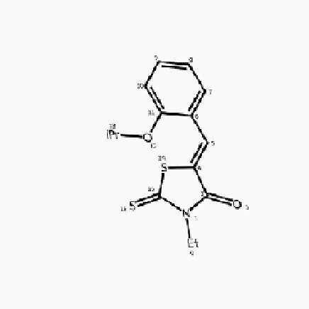 CCN1C(=O)C(=Cc2ccccc2OC(C)C)SC1=S